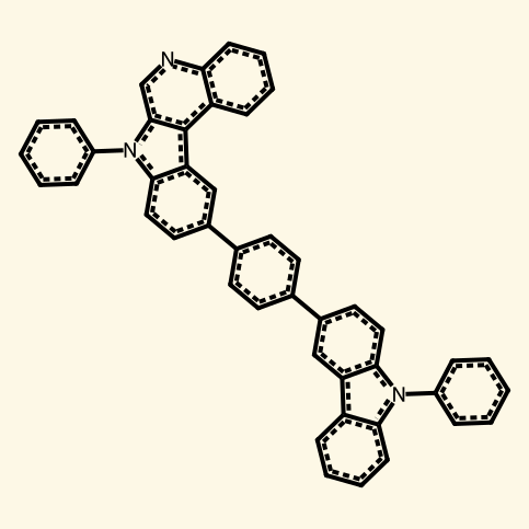 c1ccc(-n2c3ccccc3c3cc(-c4ccc(-c5ccc6c(c5)c5c7ccccc7ncc5n6-c5ccccc5)cc4)ccc32)cc1